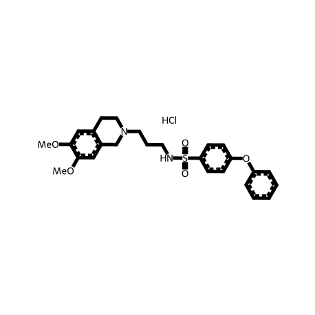 COc1cc2c(cc1OC)CN(CCCNS(=O)(=O)c1ccc(Oc3ccccc3)cc1)CC2.Cl